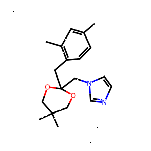 Cc1ccc(CC2(Cn3ccnc3)OCC(C)(C)CO2)c(C)c1